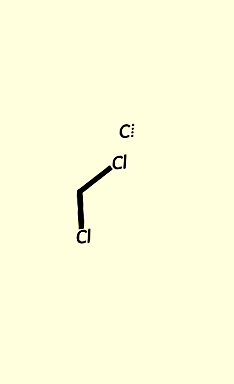 ClCCl.[C]